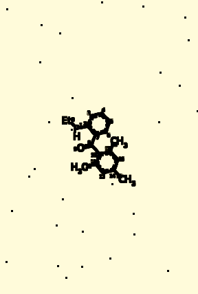 CCPc1ccccc1C(=O)c1c(C)cc(C)cc1C